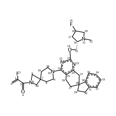 C=C(F)C(=O)N1CC2(CCN(c3nc(OC[C@@H]4CC(F)CN4C)nc4c3CCC3(CCc5ccccc53)C4)CC2)C1